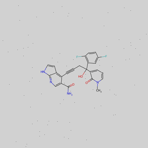 Cn1cccc(C(O)(CC#Cc2c(C(N)=O)cnc3[nH]ccc23)c2cc(F)ccc2F)c1=O